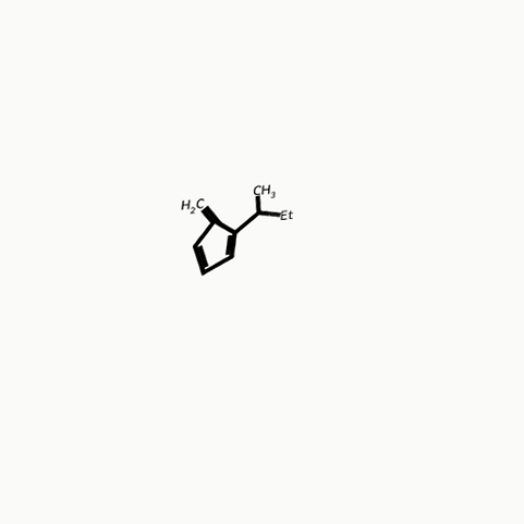 C=C1C=CC=C1C(C)CC